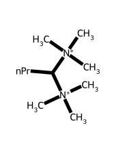 CCCC([N+](C)(C)C)[N+](C)(C)C